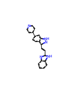 C(=C\c1n[nH]c2cc(-c3ccncc3)ccc12)/c1nc2ccccc2[nH]1